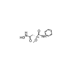 CO[C@H](CC(=O)NO)C(=O)Nc1ccccc1